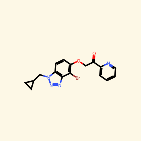 O=C(COc1ccc2c(nnn2CC2CC2)c1Br)c1ccccn1